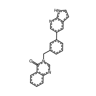 O=c1c2ccccc2ncn1Cc1cccc(-c2cnc3[nH]ccc3c2)c1